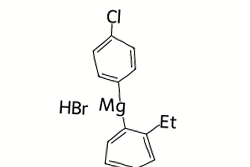 Br.CCc1cccc[c]1[Mg][c]1ccc(Cl)cc1